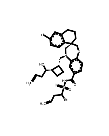 C=CCC(O)[C@@H]1CC[C@H]1CN1C[C@@]2(CCCc3cc(Cl)ccc32)COc2ccc(C(=O)NS(=O)(=O)C(CC)CC=C)cc21